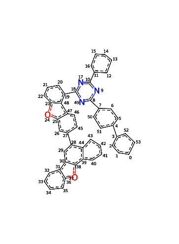 c1ccc(-c2ccc(-c3nc(-c4ccccc4)nc(-c4cccc5oc6cc(-c7cc8c9ccccc9oc8c8ccccc78)ccc6c45)n3)cc2)cc1